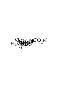 Cc1[nH]c(C(=O)NC2CCN(c3nc(C(=O)O)cs3)CC2F)c(Cl)c1Cl